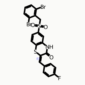 O=C1Nc2cc(S(=O)(=O)Cc3c(Br)cccc3Br)ccc2S/C1=C/c1ccc(F)cc1